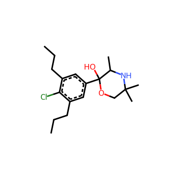 CCCc1cc(C2(O)OCC(C)(C)NC2C)cc(CCC)c1Cl